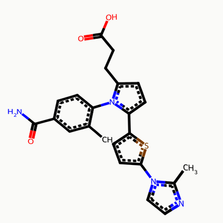 Cc1cc(C(N)=O)ccc1-n1c(CCC(=O)O)ccc1-c1ccc(-n2ccnc2C)s1